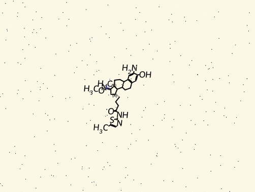 CO/N=C1\C[C@@H](CCCC(=O)Nc2ncc(C)s2)C2C3CCc4cc(O)c(N)cc4C3CC[C@]12C